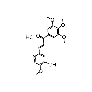 COc1cnc(C=CC(=O)c2cc(OC)c(OC)c(OC)c2)cc1O.Cl